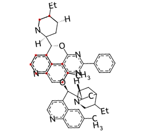 CCC1C[N@@]2CCC1C[C@H]2[C@H](Oc1nc(-c2ccccc2)nc(O[C@H](c2ccnc3ccc(C)cc23)[C@@H]2C[C@H]3CCN2CC3CC)c1-c1ccccc1)c1ccnc2ccc(C)cc12